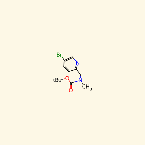 CN(Cc1ccc(Br)cn1)C(=O)OC(C)(C)C